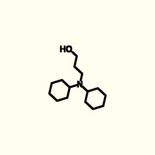 OCCCN(C1CCCCC1)C1CCCCC1